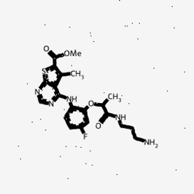 COC(=O)c1sc2ncnc(Nc3ccc(F)cc3OC(C)C(=O)NCCCN)c2c1C